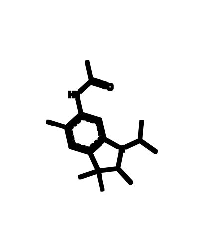 CC(=O)Nc1cc2c(cc1C)C(C)(C)C(C)N2C(C)C